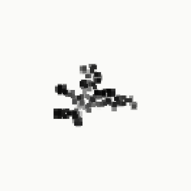 C=CC=CC(C=CC#N)(C=CC(=O)O)C(=C)C(=O)OC